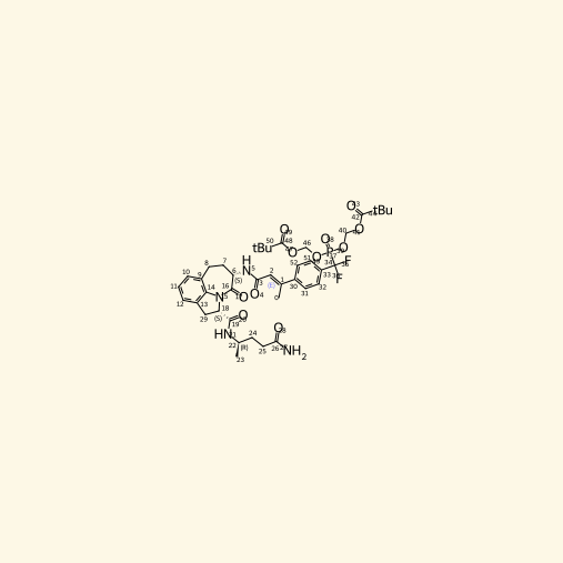 C/C(=C\C(=O)N[C@H]1CCc2cccc3c2N(C1=O)[C@H](C(=O)N[C@H](C)CCC(N)=O)C3)c1ccc(C(F)(F)P(=O)(OCOC(=O)C(C)(C)C)OCOC(=O)C(C)(C)C)cc1